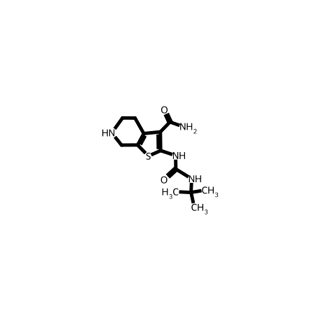 CC(C)(C)NC(=O)Nc1sc2c(c1C(N)=O)CCNC2